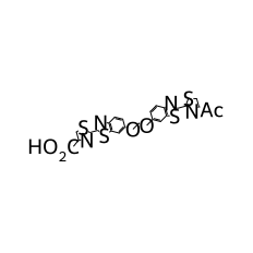 CC(=O)C1CSC(c2nc3ccc(OCOc4ccc5nc(C6=NC(C(=O)O)CS6)sc5c4)cc3s2)=N1